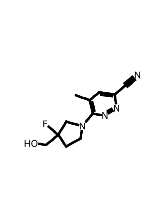 Cc1cc(C#N)nnc1N1CCC(F)(CO)C1